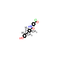 Cc1cc(C(C)(C)c2ccc(O)cc2)c(C)cc1C(=O)Nc1ccc(C(=O)Cl)cc1